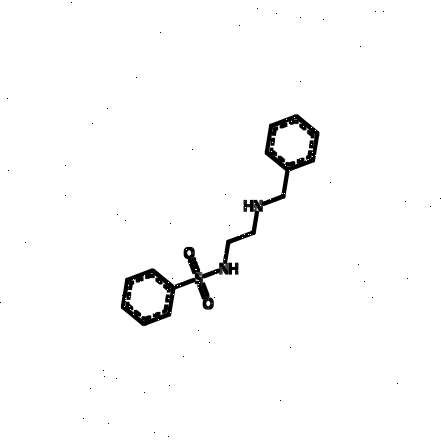 O=S(=O)(NCCNCc1ccccc1)c1ccccc1